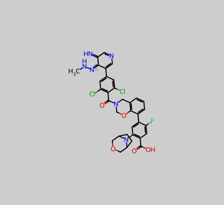 CN/N=C1\C(=N)C=NC=C1c1cc(Cl)c(C(=O)N2COc3c(cccc3-c3cc(N4C5CCC4COC5)c(C(=O)O)cc3F)C2)c(Cl)c1